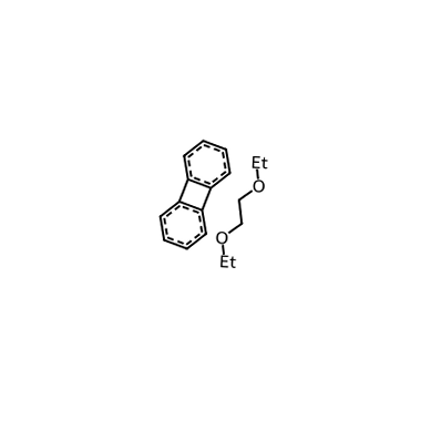 CCOCCOCC.c1ccc2c(c1)-c1ccccc1-2